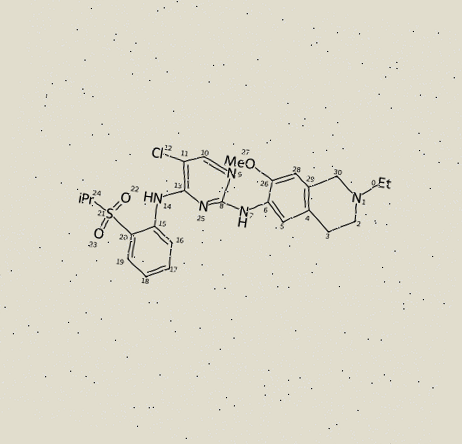 CCN1CCc2cc(Nc3ncc(Cl)c(Nc4ccccc4S(=O)(=O)C(C)C)n3)c(OC)cc2C1